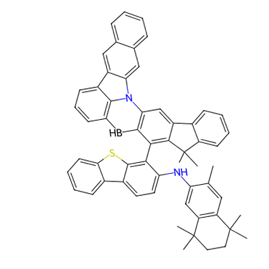 Cc1cc2c(cc1Nc1ccc3c(sc4ccccc43)c1-c1c3c(cc4c1C(C)(C)c1ccccc1-4)-n1c4cc5ccccc5cc4c4cccc(c41)B3)C(C)(C)CCC2(C)C